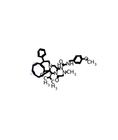 COc1ccc(CNC(=O)N2[C@H]3CN4CC(c5ccccc5)C5=CC6OC(/C=C\C=C/5)C64[C@H](C(C)C)N3C(=O)CN2C)cc1